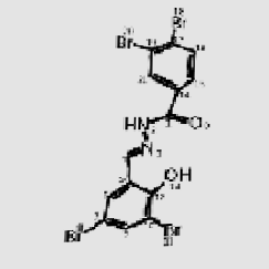 O=C(N/N=C/c1cc(Br)cc(Br)c1O)c1ccc(Br)c(Br)c1